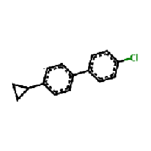 Clc1ccc(-c2c[c]c(C3CC3)cc2)cc1